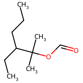 CCCC(CC)C(C)(C)OC=O